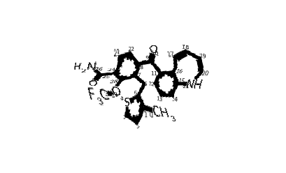 Cc1ccsc1Cc1c(C(=O)c2cccc3c2C=CC=CN3)ccc(C(N)=O)c1OC(F)(F)F